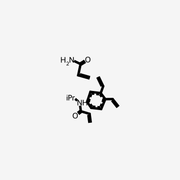 C=CC(=O)NC(C)C.C=CC(N)=O.C=Cc1ccccc1C=C